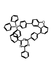 c1ccc(-c2nc(-c3ccccc3)nc(-c3ccc(-c4cccc5oc6ccc(-c7ccc([Si](c8ccccc8)(c8ccccc8)c8ccccc8)cc7)cc6c45)cc3)n2)cc1